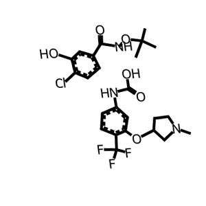 CC(C)(C)ONC(=O)c1ccc(Cl)c(O)c1.CN1CCC(Oc2cc(NC(=O)O)ccc2C(F)(F)F)C1